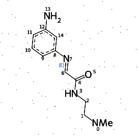 CNCCNC(=O)/C=N/c1cccc(N)c1